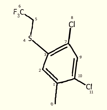 Cc1cc(SCC(F)(F)F)c(Cl)cc1Cl